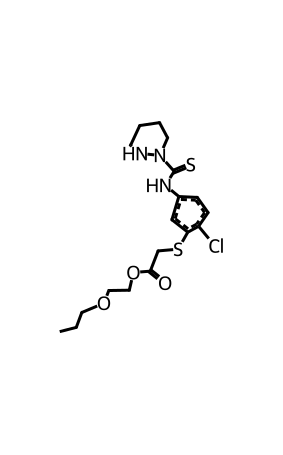 CCCOCCOC(=O)CSc1cc(NC(=S)N2CCCCN2)ccc1Cl